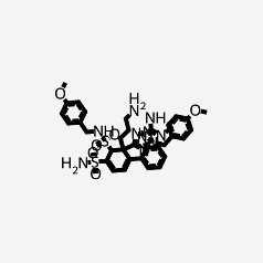 COc1ccc(CNS(=O)(=O)C2C(S(N)(=O)=O)=CC=C(c3cccc4c3nc(N)n4C)C2(CCCN)c2nnn(Cc3ccc(OC)cc3)n2)cc1